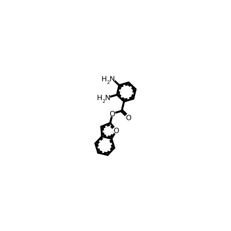 Nc1cccc(C(=O)Oc2cc3ccccc3o2)c1N